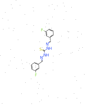 Fc1cccc(C=NNC(=S)NN=Cc2cccc(F)c2)c1